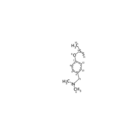 CN(C)Cc1ccc(OS(C)=S)cc1